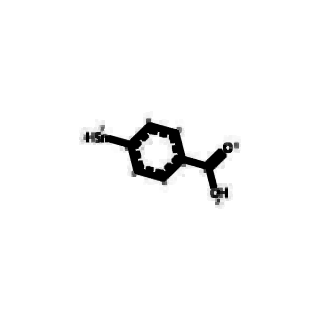 O=C(O)c1cc[c]([SnH])cc1